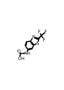 O=C(O)Nc1ccc2nc(C(F)(F)F)sc2c1